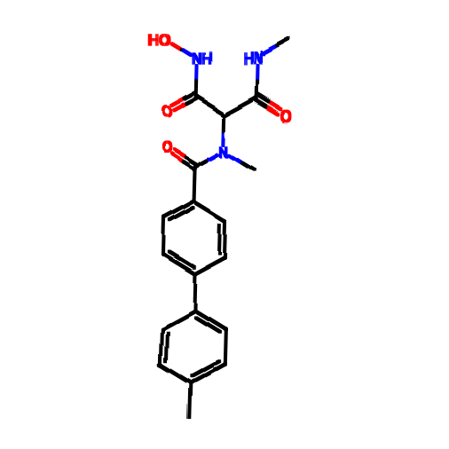 CNC(=O)C(C(=O)NO)N(C)C(=O)c1ccc(-c2ccc(C)cc2)cc1